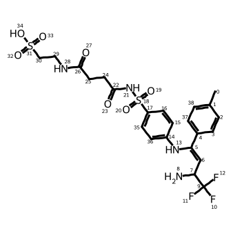 Cc1ccc(/C(=C/C(N)C(F)(F)F)Nc2ccc(S(=O)(=O)NC(=O)CCC(=O)NCCS(=O)(=O)O)cc2)cc1